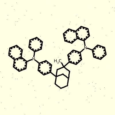 CC1(c2ccc(N(c3ccccc3)c3cccc4ccccc34)cc2)CC2CCCC(c3ccc(N(c4ccccc4)c4cccc5ccccc45)cc3)(C2)C1